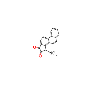 O=C1C(=O)C([N+](=O)[O-])c2c1ccc1c2ccc2ccccc21